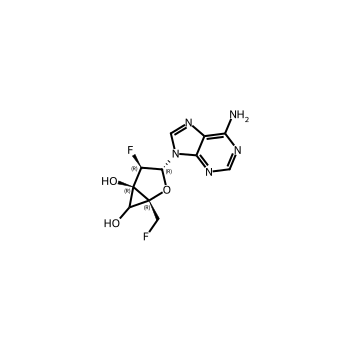 Nc1ncnc2c1ncn2[C@@H]1O[C@]2(CF)C(O)[C@]2(O)[C@H]1F